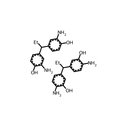 CCC(c1ccc(N)c(O)c1)c1ccc(N)c(O)c1.CCC(c1ccc(O)c(N)c1)c1ccc(O)c(N)c1